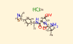 Cc1ncsc1-c1ccc(C(C)NC(=O)[C@@H]2C[C@H](O)CN2C(=O)C(N)C(C)(C)C)cc1.Cl